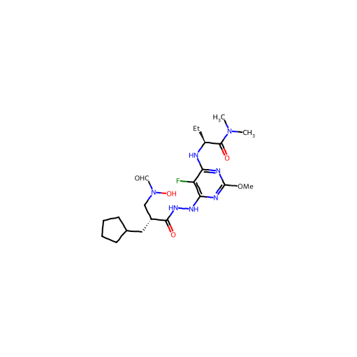 CC[C@H](Nc1nc(OC)nc(NNC(=O)[C@H](CC2CCCC2)CN(O)C=O)c1F)C(=O)N(C)C